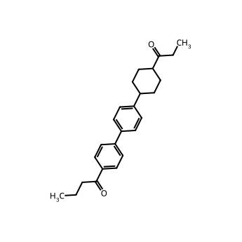 CCCC(=O)c1ccc(-c2ccc(C3CCC(C(=O)CC)CC3)cc2)cc1